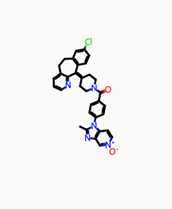 Cc1nc2c[n+]([O-])ccc2n1-c1ccc(C(=O)N2CCC(=C3c4ccc(Cl)cc4CCc4cccnc43)CC2)cc1